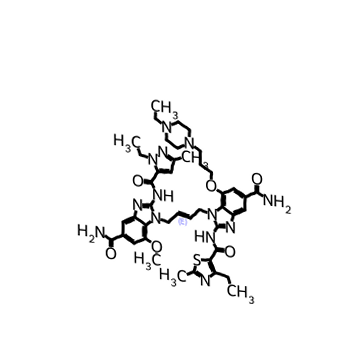 CCc1nc(C)sc1C(=O)Nc1nc2cc(C(N)=O)cc(OCCCN3CCN(CC)CC3)c2n1C/C=C/Cn1c(NC(=O)c2cc(C)nn2CC)nc2cc(C(N)=O)cc(OC)c21